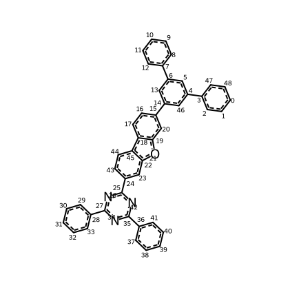 c1ccc(-c2cc(-c3ccccc3)cc(-c3ccc4c(c3)oc3cc(-c5nc(-c6ccccc6)nc(-c6ccccc6)n5)ccc34)c2)cc1